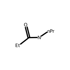 CCC[N]C(=O)CC